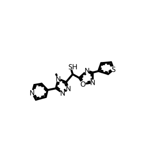 Cn1c(-c2ccncc2)nnc1C(S)c1nc(-c2ccsc2)no1